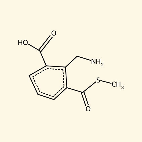 CSC(=O)c1cccc(C(=O)O)c1CN